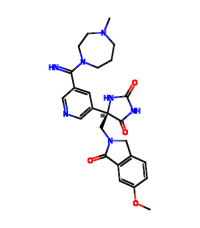 COc1ccc2c(c1)C(=O)N(C[C@@]1(c3cncc(C(=N)N4CCCN(C)CC4)c3)NC(=O)NC1=O)C2